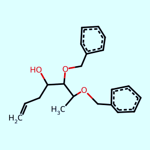 C=CCC(O)C(OCc1ccccc1)C(C)OCc1ccccc1